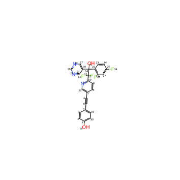 Oc1ccc(C#Cc2ccc(C(F)(F)C(O)(c3cncnc3)c3ccc(F)cc3F)nc2)cc1